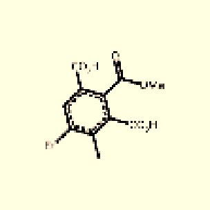 CCc1cc(C(=O)O)c(C(=O)OC)c(C(=O)O)c1C